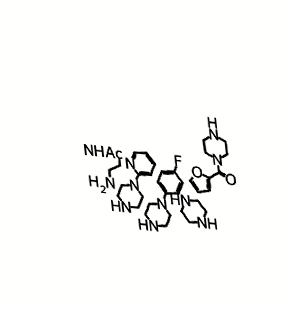 C1CNCCN1.CC(=O)NCCN.Fc1ccc(N2CCNCC2)cc1.O=C(c1ccco1)N1CCNCC1.c1ccc(N2CCNCC2)nc1